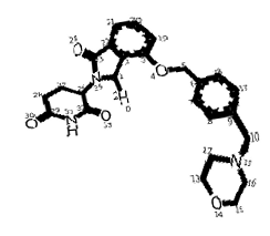 [2H]C1c2c(OCc3ccc(CN4CCOCC4)cc3)cccc2C(=O)N1C1CCC(=O)NC1=O